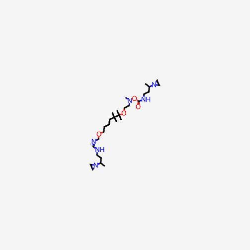 CC(CCN/C=N\COCCCCC(C)(C)C(C)(C)OCCN(C)OC(=O)NCCC(C)N1CC1)N1CC1